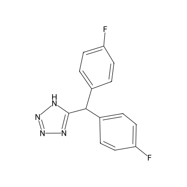 Fc1ccc(C(c2ccc(F)cc2)c2nnn[nH]2)cc1